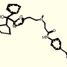 CN(CCC(=O)Nc1ccc(CO)cc1)CCc1cnc(C(O)(c2ccccc2)C2CCCCC2)o1